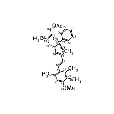 COc1cc(C)c(C=CC(C)=CC(CC(C)=CCOC(C)=O)S(=O)(=O)c2ccccc2)c(C)c1C